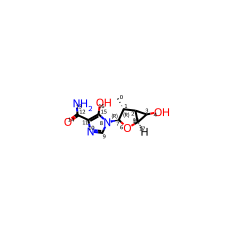 C[C@@H]1C2C(O)[C@H]2O[C@H]1n1cnc(C(N)=O)c1O